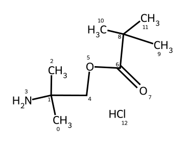 CC(C)(N)COC(=O)C(C)(C)C.Cl